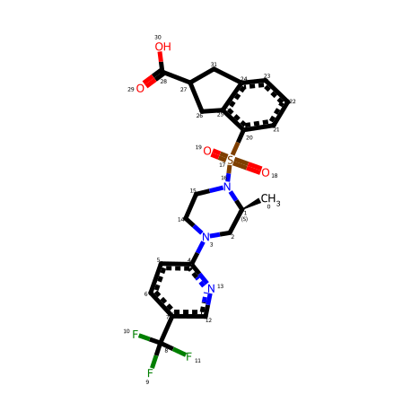 C[C@H]1CN(c2ccc(C(F)(F)F)cn2)CCN1S(=O)(=O)c1cccc2c1CC(C(=O)O)C2